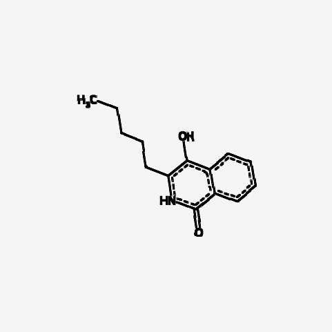 CCCCCc1[nH]c(=O)c2ccccc2c1O